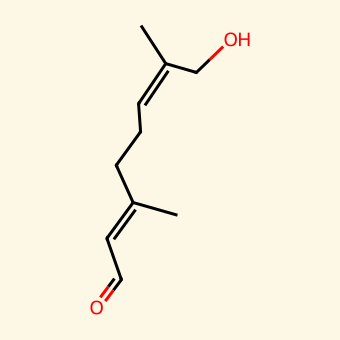 CC(=CCC/C(C)=C/C=O)CO